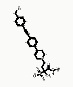 CC(CCN1CC=C(c2ccc(C#Cc3ccc(CO)cc3)cc2)CC1)(C(=O)NO)S(C)(=O)=O